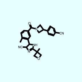 Cc1ccc(C(=O)N2CC(c3ccc(C#N)cc3)C2)cc1C1NC(C2(C)COC2)=NC1C#N